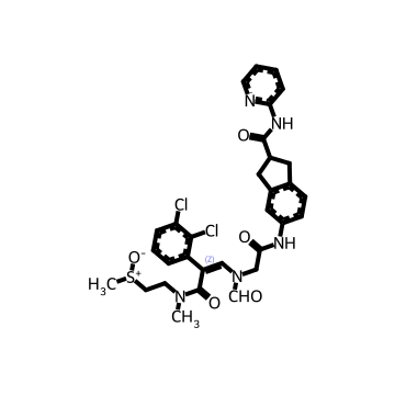 CN(CC[S+](C)[O-])C(=O)/C(=C\N(C=O)CC(=O)Nc1ccc2c(c1)CC(C(=O)Nc1ccccn1)C2)c1cccc(Cl)c1Cl